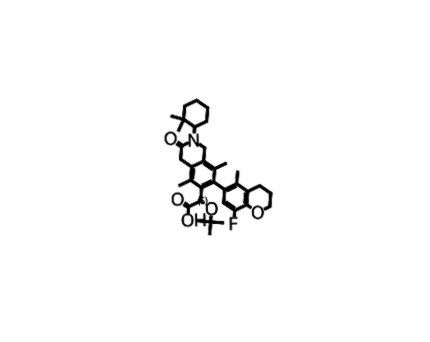 Cc1c(-c2c(C)c3c(c(C)c2[C@H](OC(C)(C)C)C(=O)O)CC(=O)N(C2CCCCC2(C)C)C3)cc(F)c2c1CCCO2